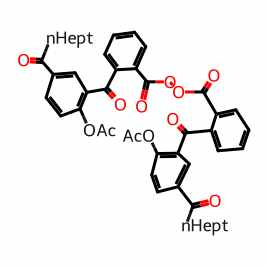 CCCCCCCC(=O)c1ccc(OC(C)=O)c(C(=O)c2ccccc2C(=O)OOC(=O)c2ccccc2C(=O)c2cc(C(=O)CCCCCCC)ccc2OC(C)=O)c1